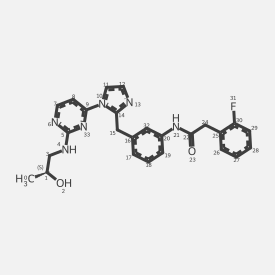 C[C@H](O)CNc1nccc(-n2ccnc2Cc2cccc(NC(=O)Cc3ccccc3F)c2)n1